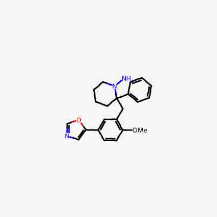 COc1ccc(-c2cnco2)cc1CC1(c2ccccc2)CCCCN1N